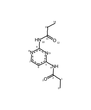 CCC(=O)Nc1ccnc(NC(=O)CC)n1